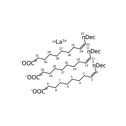 CCCCCCCCCC/C=C\CCCCCCCC(=O)[O-].CCCCCCCCCC/C=C\CCCCCCCC(=O)[O-].CCCCCCCCCC/C=C\CCCCCCCC(=O)[O-].[La+3]